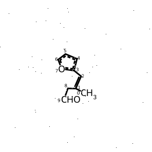 CC(=Cc1ccco1)CC=O